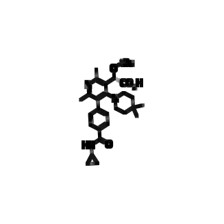 Cc1nc(C)c([C@H](OC(C)(C)C)C(=O)O)c(N2CCC(C)(C)CC2)c1-c1ccc(C(=O)NC2CC2)cc1